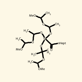 CCCCCCCC(=O)[Si](OC(C)OC(C)OC)(OC(C)OC(C)OC)OC(C)(C)OC(C)OC